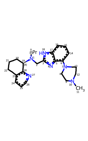 CCCN(Cc1nc2c(N3CCN(C)CC3)cccc2[nH]1)[C@@H]1CCCc2cccnc21